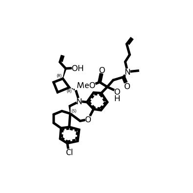 C=CCCN(C)C(=O)CC(O)(C(=O)OC)c1ccc2c(c1)N(C[C@@H]1CC[C@H]1C(O)C=C)C[C@@]1(CCCc3cc(Cl)ccc31)CO2